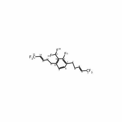 Fc1c(CC/C=C/C(F)(F)F)ccc(CC/C=C/C(F)(F)F)c1C(F)F